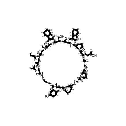 CCCC[C@H]1C(=O)N[C@@H](CC(C)C)C(=O)NCCSCC(=O)N[C@@H](Cc2ccc(O)cc2)C(=O)N2CCCC[C@H]2C(=O)NCC(=O)N2CCC[C@H]2C(=O)NCC(=O)N[C@@H](CCC(=O)O)C(=O)N2CCC[C@H]2C(=O)N[C@@H](Cc2c[nH]c3ccccc23)C(=O)N[C@@H](CO)C(=O)N[C@@H](Cc2c[nH]c3ccccc23)C(=O)N(C)CC(=O)N1C